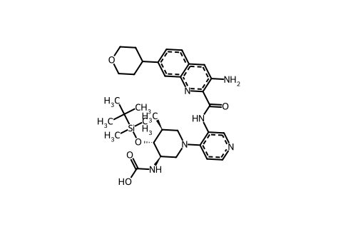 C[C@H]1CN(c2ccncc2NC(=O)c2nc3cc(C4CCOCC4)ccc3cc2N)C[C@@H](NC(=O)O)[C@@H]1O[Si](C)(C)C(C)(C)C